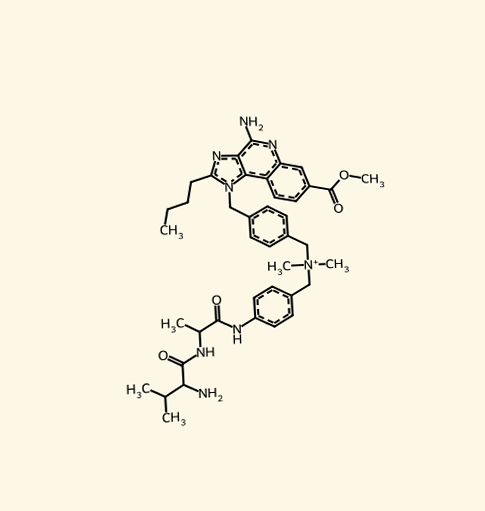 CCCCc1nc2c(N)nc3cc(C(=O)OC)ccc3c2n1Cc1ccc(C[N+](C)(C)Cc2ccc(NC(=O)C(C)NC(=O)C(N)C(C)C)cc2)cc1